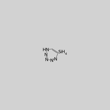 C1=CNN=NN=N1.[SiH4]